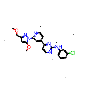 COCc1cc(OC)n(-c2cc(-c3ccnc(Nc4cccc(Cl)c4)n3)ccn2)n1